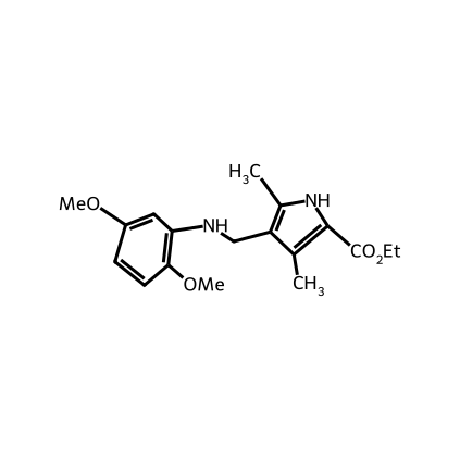 CCOC(=O)c1[nH]c(C)c(CNc2cc(OC)ccc2OC)c1C